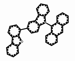 c1ccc2c(-n3c4ccccc4c4cc(-c5cccc6c5oc5ccccc56)ccc43)c3ccccc3cc2c1